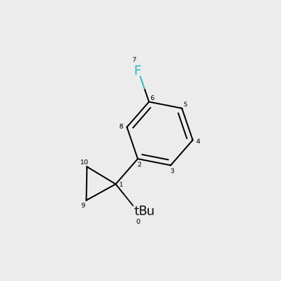 CC(C)(C)C1(c2cccc(F)c2)CC1